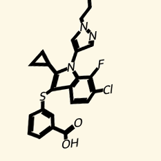 CCCn1cc(-n2c(C3CC3)c(Sc3cccc(C(=O)O)c3)c3ccc(Cl)c(F)c32)cn1